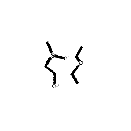 CCOCC.C[S+]([O-])CCO